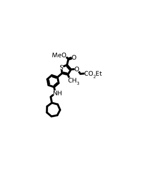 CCOC(=O)COc1c(C(=O)OC)sc(-c2cccc(NCC3CCCCCC3)c2)c1C